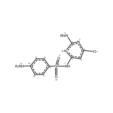 CNc1nc(Cl)cc(NS(=O)(=O)c2ccc(NC(C)=O)cc2)n1